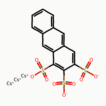 O=S(=O)([O-])c1cc2cc3ccccc3cc2c(S(=O)(=O)[O-])c1S(=O)(=O)[O-].[Cs+].[Cs+].[Cs+]